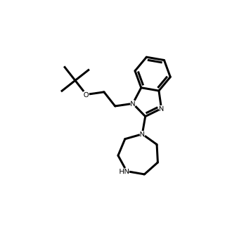 CC(C)(C)OCCn1c(N2CCCNCC2)nc2ccccc21